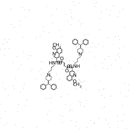 COc1cccc2c(OC(=O)/C=C/C(=O)Oc3c(C(=O)NCCCCN4CCC(=C(c5ccccc5)c5ccccc5)CC4)cnc4c(OC)cccc34)c(C(=O)NCCCCN3CCC(=C(c4ccccc4)c4ccccc4)CC3)cnc12